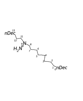 CCCCCCCCCCCCCCCCCCN(N)CCCCCCCCCCCC